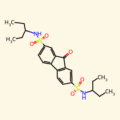 CCC(CC)NS(=O)(=O)c1ccc2c(c1)C(=O)c1cc(S(=O)(=O)NC(CC)CC)ccc1-2